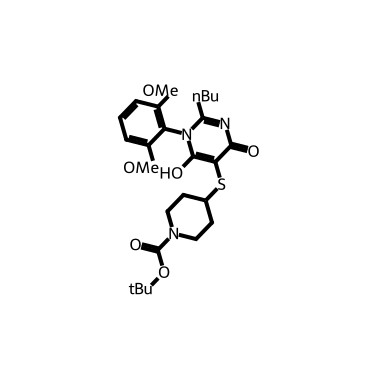 CCCCc1nc(=O)c(SC2CCN(C(=O)OC(C)(C)C)CC2)c(O)n1-c1c(OC)cccc1OC